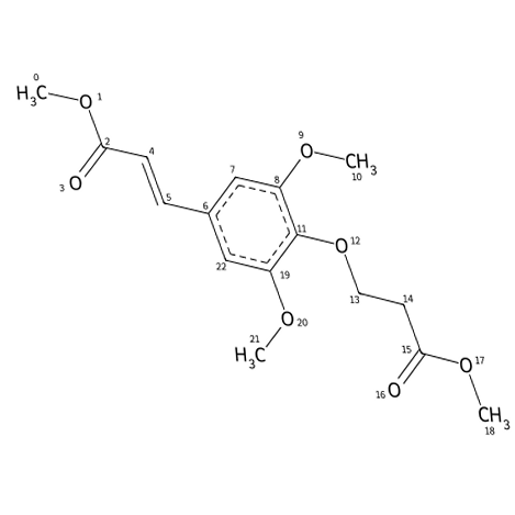 COC(=O)C=Cc1cc(OC)c(OCCC(=O)OC)c(OC)c1